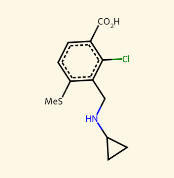 CSc1ccc(C(=O)O)c(Cl)c1CNC1CC1